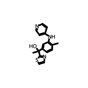 Cc1ccc(C(C)(O)c2nccs2)cc1Nc1ccncc1